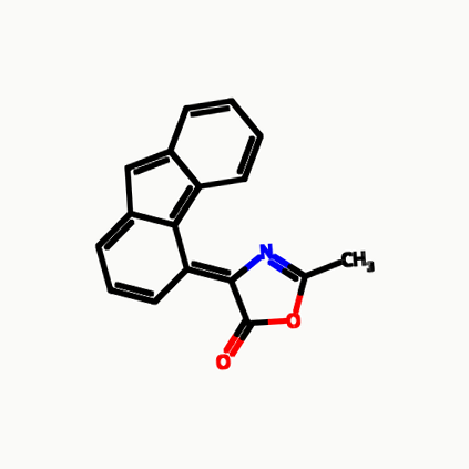 CC1=NC(=c2cccc3c2=c2ccccc2=C3)C(=O)O1